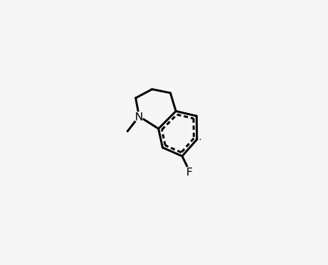 CN1CCCc2c[c]c(F)cc21